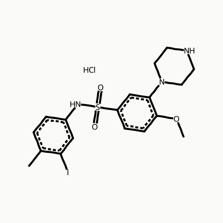 COc1ccc(S(=O)(=O)Nc2ccc(C)c(I)c2)cc1N1CCNCC1.Cl